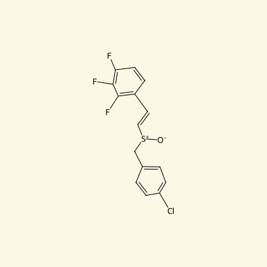 [O-][S+](/C=C/c1ccc(F)c(F)c1F)Cc1ccc(Cl)cc1